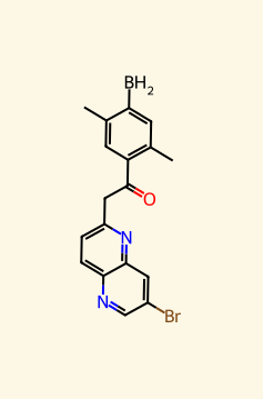 Bc1cc(C)c(C(=O)Cc2ccc3ncc(Br)cc3n2)cc1C